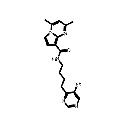 CCc1cncnc1CCCCNC(=O)c1ccn2c(C)cc(C)nc12